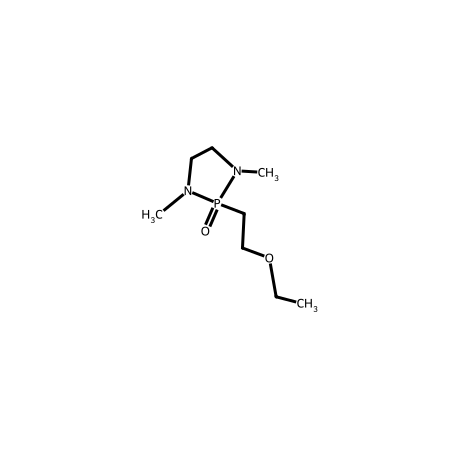 CCOCCP1(=O)N(C)CCN1C